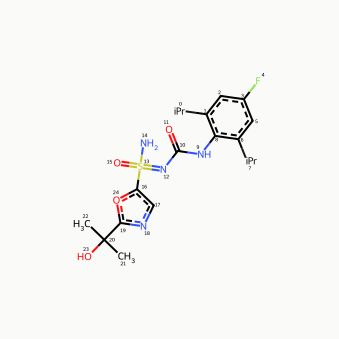 CC(C)c1cc(F)cc(C(C)C)c1NC(=O)N=S(N)(=O)c1cnc(C(C)(C)O)o1